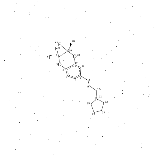 FC1(F)Oc2ccc(CCCN3CCCC3)cc2OC1(F)F